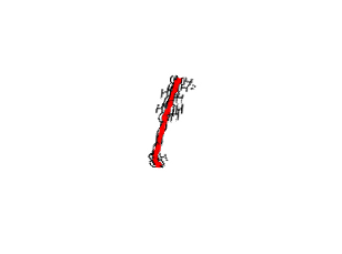 NC(=O)CCNC(=O)CNC(=O)CNC(=O)CNC(O)CNC(=O)CCOCCOCCOCCOCCNC(=O)CCN1C(=O)C=CC1=O